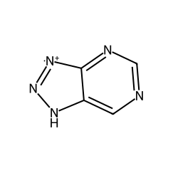 c1ncc2c(n1)[N+]=NN2